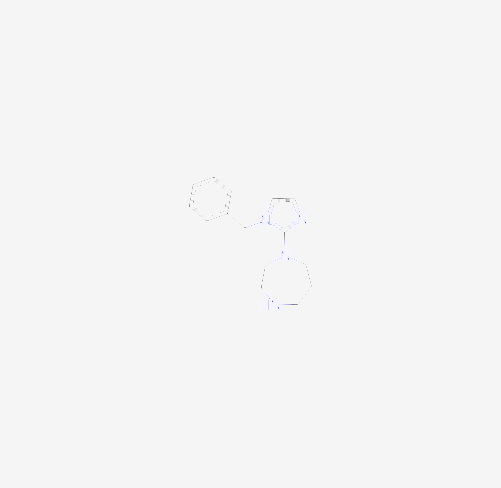 c1ccc(Cn2ccnc2N2CCCNCC2)cc1